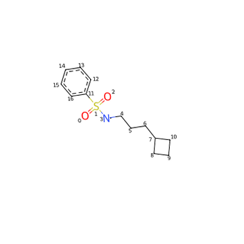 O=S(=O)([N]CCCC1CCC1)c1ccccc1